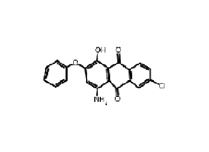 Nc1cc(Oc2ccccc2)c(O)c2c1C(=O)c1cc(Cl)ccc1C2=O